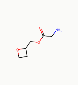 NCC(=O)OCC1CCO1